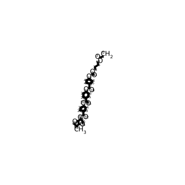 C=CC(=O)OCCCCOC(=O)Oc1ccc(C(=O)Oc2ccc(C(=O)Oc3ccc(C(=O)O[C@H]4COC5C4OC[C@@H]5C)cc3)cc2)cc1